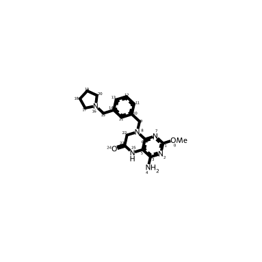 COc1nc(N)c2c(n1)N(Cc1cccc(CN3CCCC3)c1)CC(=O)N2